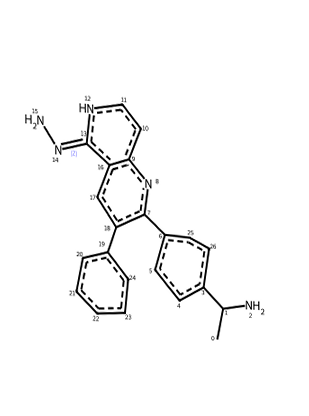 CC(N)c1ccc(-c2nc3cc[nH]/c(=N\N)c3cc2-c2ccccc2)cc1